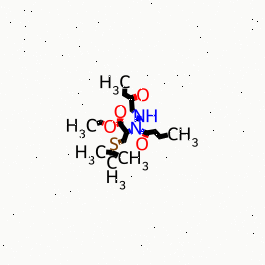 CCCC(=O)N(NCC(=O)CC)C(CSC(C)(C)C)C(=O)OCC